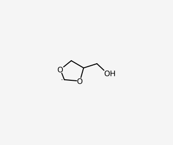 OCC1CO[CH]O1